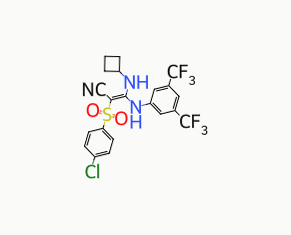 N#C/C(=C(/Nc1cc(C(F)(F)F)cc(C(F)(F)F)c1)NC1CCC1)S(=O)(=O)c1ccc(Cl)cc1